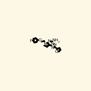 Nc1nc2c(ccn2CCOc2ccc(F)cc2)c2nc(-c3ccco3)nn12